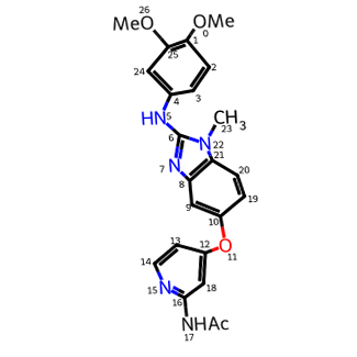 COc1ccc(Nc2nc3cc(Oc4ccnc(NC(C)=O)c4)ccc3n2C)cc1OC